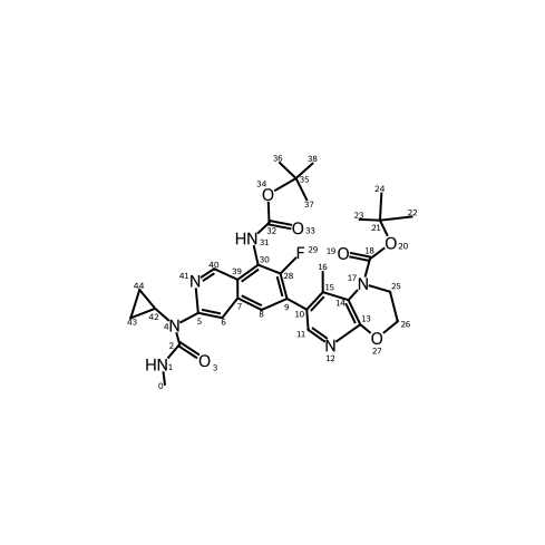 CNC(=O)N(c1cc2cc(-c3cnc4c(c3C)N(C(=O)OC(C)(C)C)CCO4)c(F)c(NC(=O)OC(C)(C)C)c2cn1)C1CC1